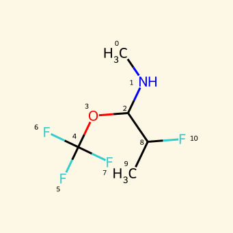 CNC(OC(F)(F)F)C(C)F